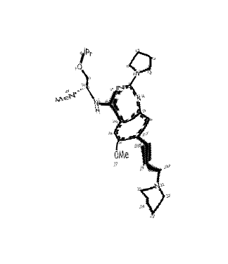 CN[C@H](COC(C)C)Nc1nc(N2CCCC2)nc2cc(C#CCN3CCCC3)c(OC)cc12